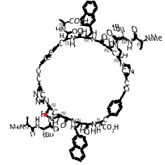 CN[C@@H](C)C(=O)N[C@H](C(=O)N1C[C@@H]2C[C@H]1C(=O)N[C@@H](Cc1ccc3ccccc3c1)C(=O)N[C@H](C(=O)O)Cc1ccc(cc1)OCc1cn(cn1)[C@H]1C[C@@H](C(=O)N[C@@H](Cc3ccc4ccccc4c3)C(=O)N[C@H](C(=O)N[C@@H](C)C(=O)O)Cc3ccc(cc3)OCc3cn2nn3)N(C(=O)[C@@H](NC(=O)[C@H](C)NC)C(C)(C)C)C1)C(C)(C)C